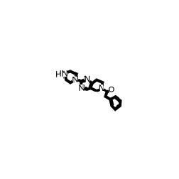 O=C(Cc1ccccc1)N1CCc2nc(N3CCNCC3)ncc2C1